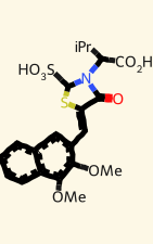 COc1c(C=C2SC(S(=O)(=O)O)N(C(C(=O)O)C(C)C)C2=O)cc2ccccc2c1OC